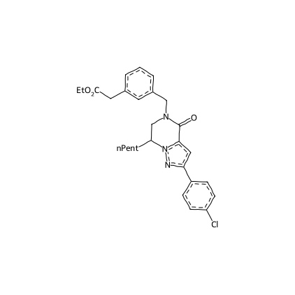 CCCCCC1CN(Cc2cccc(CC(=O)OCC)c2)C(=O)c2cc(-c3ccc(Cl)cc3)nn21